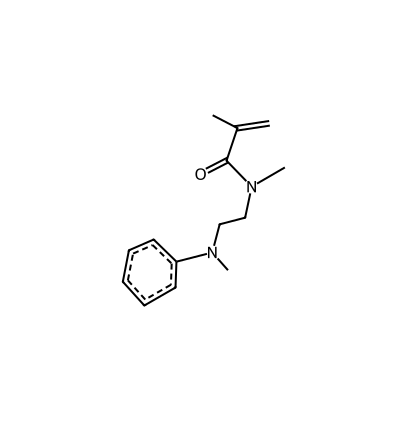 C=C(C)C(=O)N(C)CCN(C)c1ccccc1